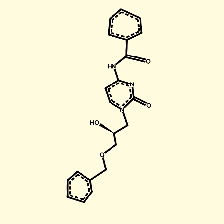 O=C(Nc1ccn(C[C@H](O)COCc2ccccc2)c(=O)n1)c1ccccc1